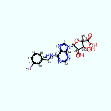 C[C@]1(C(=O)O)O[C@@H](n2cnc3c(NCc4cccc(I)c4)ncnc32)[C@H](O)[C@@H]1O